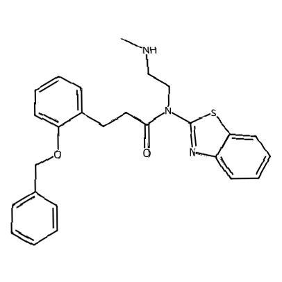 CNCCN(C(=O)CCc1ccccc1OCc1ccccc1)c1nc2ccccc2s1